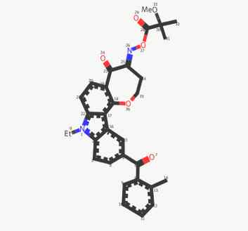 CCn1c2ccc(C(=O)c3ccccc3C)cc2c2c3c(ccc21)C(=O)/C(=N/OC(=O)C(C)(C)OC)CCO3